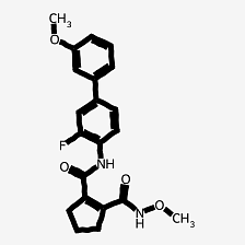 CONC(=O)C1=C(C(=O)Nc2ccc(-c3cccc(OC)c3)cc2F)CCC1